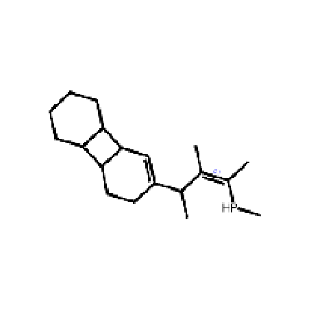 CP/C(C)=C(/C)C(C)C1=CC2C3CCCCC3C2CC1